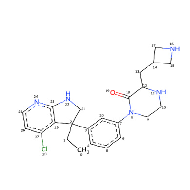 CCC1(c2cccc(N3CCNC(CC4CNC4)C3=O)c2)CNc2nccc(Cl)c21